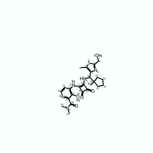 Cc1sc(CO)nc1C(Nc1c(Nc2ccnc(C(=O)N(C)C)c2O)c(=O)c1=O)C1(C)CCCC1